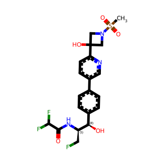 CS(=O)(=O)N1CC(O)(c2ccc(-c3ccc([C@@H](O)[C@@H](CF)NC(=O)C(F)F)cc3)cn2)C1